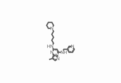 Cc1cnn2c(NCc3cccnc3)cc(NCCCCCN3CCCCC3)nc12